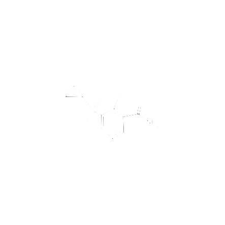 NC(=O)c1cccc(S(=O)(=O)C2CC2)c1F